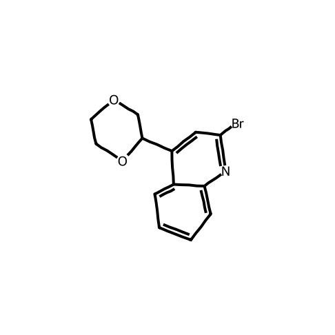 Brc1cc(C2COCCO2)c2ccccc2n1